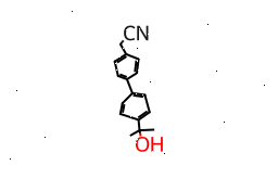 CC(C)(O)c1ccc(-c2ccc(CC#N)cc2)cc1